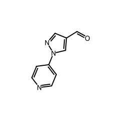 O=Cc1cnn(-c2ccncc2)c1